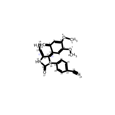 C=c1cc(OC)c(OC)c/c1=c1/c(=C\N)[nH]c(=O)n1-c1ccc(C#N)cc1